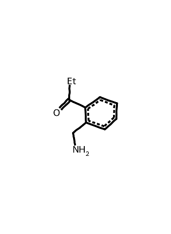 [CH2]CC(=O)c1ccccc1CN